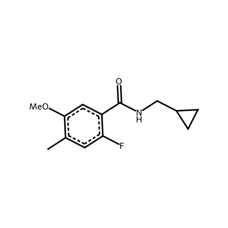 COc1cc(C(=O)NCC2CC2)c(F)cc1C